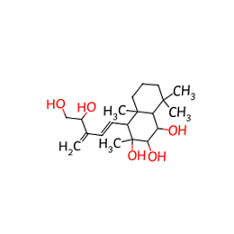 C=C(/C=C/C1C(C)(O)C(O)C(O)C2C(C)(C)CCCC21C)C(O)CO